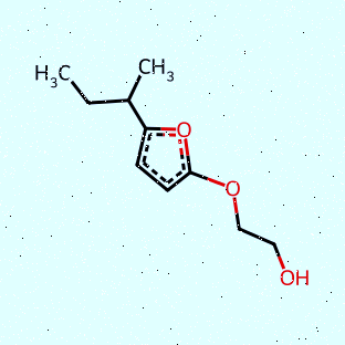 CCC(C)c1ccc(OCCO)o1